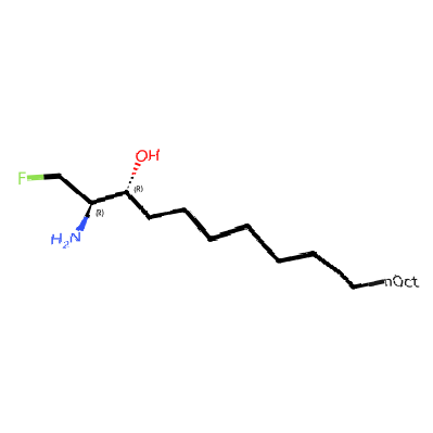 CCCCCCCCCCCCCCC[C@@H](O)[C@@H](N)CF